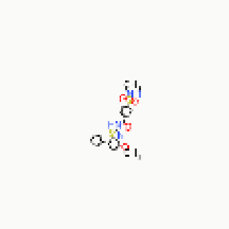 CCNS(=O)(=O)c1ccc(C(=O)Nc2nc3c(OC)ccc(-c4ccccc4)c3s2)cc1